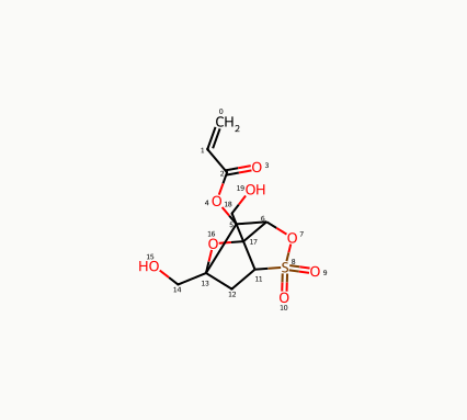 C=CC(=O)OC1C2OS(=O)(=O)C3CC1(CO)OC23CO